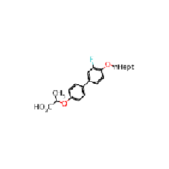 CCCCCCCOc1ccc(-c2ccc(OC(C)C(=O)O)cc2)cc1F